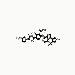 C[C@@H](NC(=O)c1ccc(Nc2nccn3c(-c4c[nH]nc4C(F)(F)F)cnc23)cc1Cl)C(=O)N1CC[C@@H](N)C1.O=CO